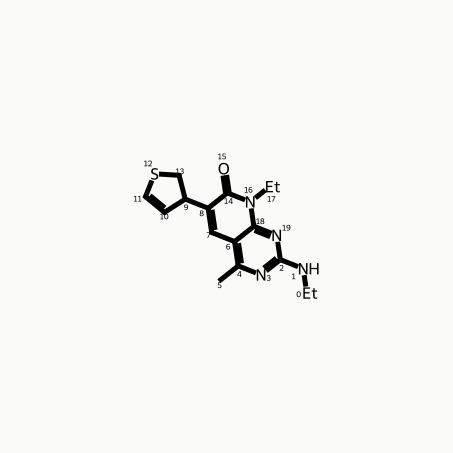 CCNc1nc(C)c2cc(C3C=CSC3)c(=O)n(CC)c2n1